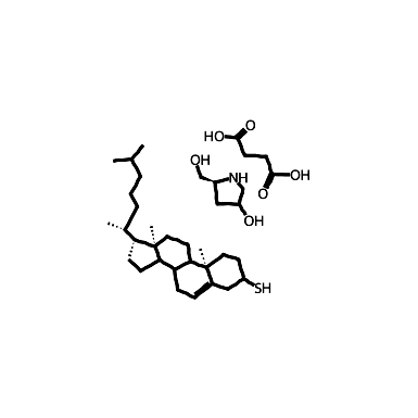 CC(C)CCC[C@@H](C)[C@H]1CCC2C3CC=C4CC(S)CC[C@]4(C)C3CC[C@@]21C.O=C(O)CCC(=O)O.OC[C@@H]1CC(O)CN1